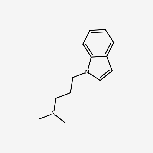 CN(C)CCCn1ccc2ccccc21